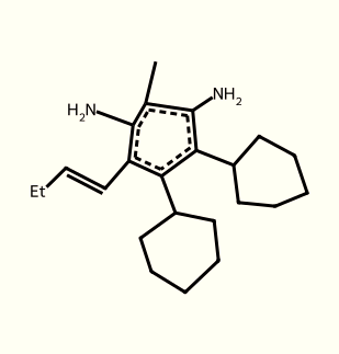 CCC=Cc1c(N)c(C)c(N)c(C2CCCCC2)c1C1CCCCC1